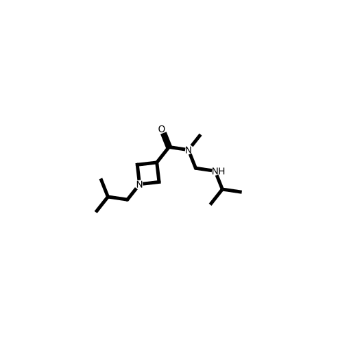 CC(C)CN1CC(C(=O)N(C)CNC(C)C)C1